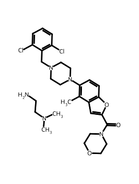 CN(C)CCN.Cc1c(N2CCN(Cc3c(Cl)cccc3Cl)CC2)ccc2oc(C(=O)N3CCOCC3)cc12